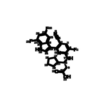 N#Cc1cc(F)c(N[C@H](CC(=O)O)C2CCCC2)nc1-c1c[nH]c2c(F)cc(F)cc12